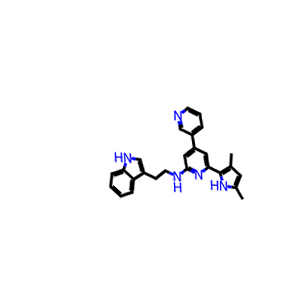 Cc1cc(C)c(-c2cc(-c3cccnc3)cc(NCCc3c[nH]c4ccccc34)n2)[nH]1